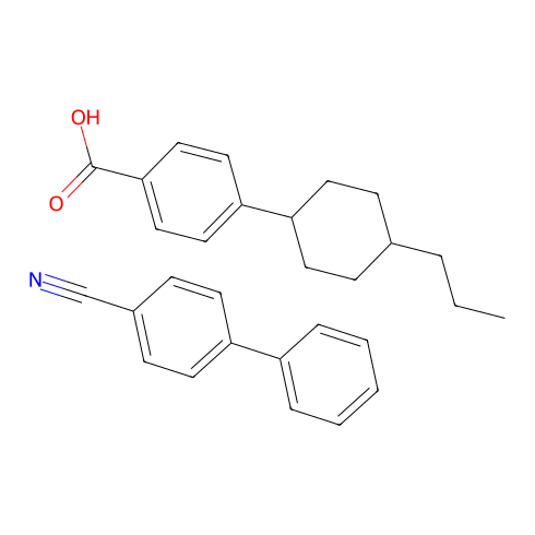 CCCC1CCC(c2ccc(C(=O)O)cc2)CC1.N#Cc1ccc(-c2ccccc2)cc1